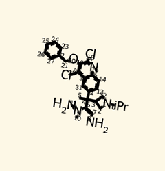 CC(C)N1CC(C(C)(/C(=C/N)N(C)N)c2ccc3nc(Cl)c(OCc4ccccc4)c(Cl)c3c2)C1